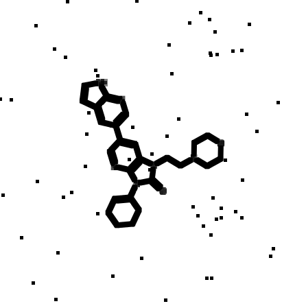 O=c1n(CCN2CCOCC2)c2cc(-c3cnc4[nH]ccc4c3)cnc2n1C1=CCCCC1